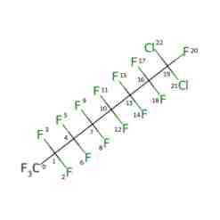 FC(F)(F)C(F)(F)C(F)(F)C(F)(F)C(F)(F)C(F)(F)C(F)(F)C(F)(Cl)Cl